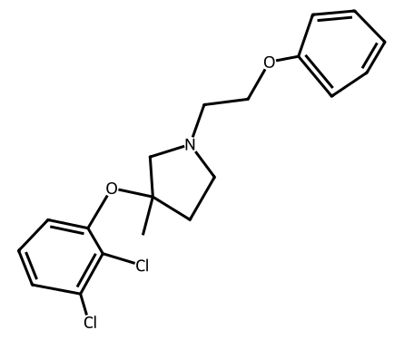 CC1(Oc2cccc(Cl)c2Cl)CCN(CCOc2ccccc2)C1